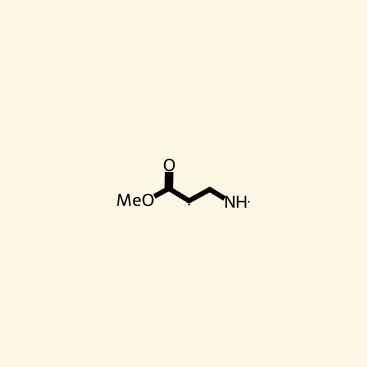 COC(=O)[CH]C[NH]